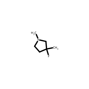 [CH2]N1CCC(C)(F)C1